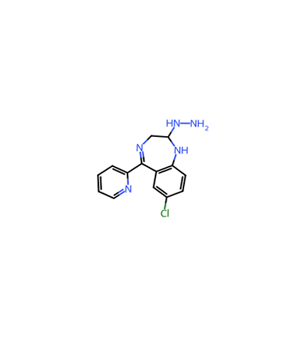 NNC1CN=C(c2ccccn2)c2cc(Cl)ccc2N1